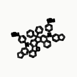 CC(C)(C)c1ccc(N(c2ccc3c(c2)CCC3)c2cc3c(c4ccccc24)-c2c(cc(N(c4ccc(C(C)(C)C)cc4)c4ccc5c(c4)CCC5)c4c2oc2ccccc24)C3(c2ccccc2)c2ccccc2)cc1